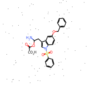 NC(Cc1cn(S(=O)(=O)c2ccccc2)c2ccc(OCc3ccccc3)cc12)OC(=O)C(=O)O